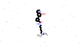 CN(C)CCCCCCNC(=O)c1cccc(-c2cc(O)c3ncccc3c2)c1